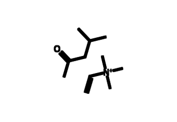 C=C[N+](C)(C)C.CC(=O)CC(C)C